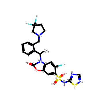 CC(c1ccccc1CN1CCC(F)(F)C1)n1c(=O)oc2cc(S(=O)(=O)Nc3ncns3)c(F)cc21